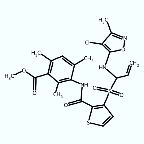 C=CC(Nc1onc(C)c1Cl)S(=O)(=O)c1ccsc1C(=O)Nc1c(C)cc(C)c(C(=O)OC)c1C